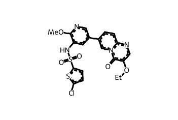 CCOc1cnc2ccc(-c3cnc(OC)c(NS(=O)(=O)c4ccc(Cl)s4)c3)cn2c1=O